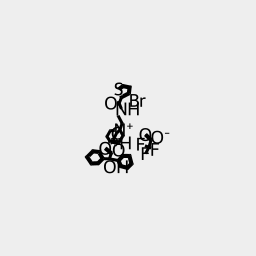 O=C(NCC[N+]12CCC(CC1)[C@@H](OC(=O)C(O)(c1ccccc1)c1ccccc1)C2)c1sccc1Br.O=C([O-])C(F)(F)F